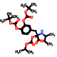 CCC(C)N[C@@](Cc1ccc(OC(=O)OC(C)(C)C)c(OC(=O)OC(C)(C)C)c1)(OC(=O)OC(C)C)C(=O)O